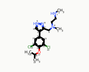 CNCCN(C)Cc1n[nH]cc1-c1cc(Cl)c(OC(C)C)c(Cl)c1